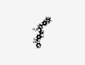 [2H]c1cc(C([2H])([2H])NC2CCOCC2)ccc1-c1cc(-c2nc(-c3ccc(S(=O)(=O)C([2H])(C)C)cc3)cnc2N)on1